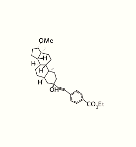 CCOC(=O)c1ccc(C#C[C@@]2(O)CC[C@@]3(C)[C@H](CC[C@@H]4[C@@H]3CC[C@]3(C)[C@@H](OC)CC[C@@H]43)C2)cc1